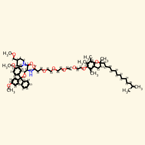 COCC1CCN(C(=O)C(COC(c2ccccc2)(c2ccc(OC)cc2)c2ccc(OC)cc2)NC(=O)CCOCCOCCOCCOCCOc2c(C)c(C)c3c(c2C)CCC(C)(CCCCCCCCCCCC(C)C)O3)CC1